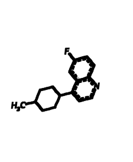 CC1CCC(c2ccnc3ccc(F)cc23)CC1